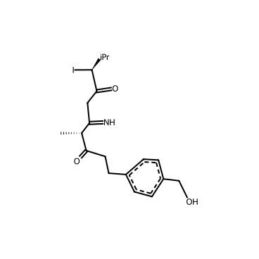 CC(C)[C@H](I)C(=O)CC(=N)[C@@H](C)C(=O)CCc1ccc(CO)cc1